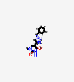 Cn1cc(-c2cn(Cc3ccccc3)nn2)c(=O)[nH]c1=O